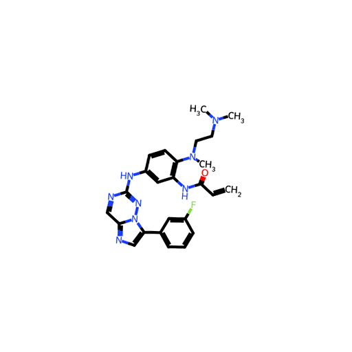 C=CC(=O)Nc1cc(Nc2ncc3ncc(-c4cccc(F)c4)n3n2)ccc1N(C)CCN(C)C